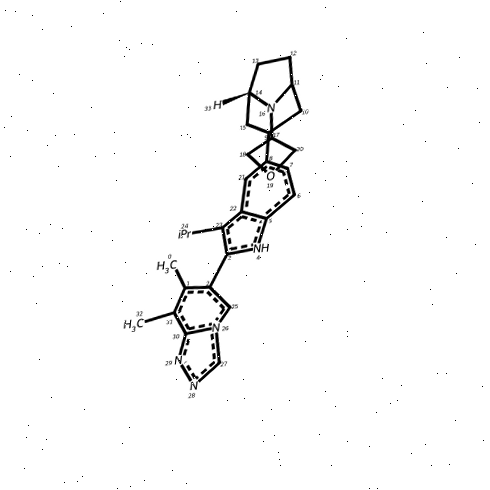 Cc1c(-c2[nH]c3ccc(C4CC5CC[C@@H](C4)N5C4COC4)cc3c2C(C)C)cn2cnnc2c1C